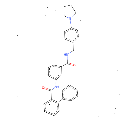 O=C(NCc1ccc(N2CCCC2)cc1)c1cccc(NC(=O)c2ccccc2-c2ccccc2)c1